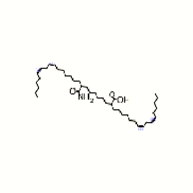 CCCCC/C=C\C/C=C\CCCCCCC(CCCCCCC(CCCCCC/C=C\C/C=C\CCCCC)C(=O)O)C(N)=O